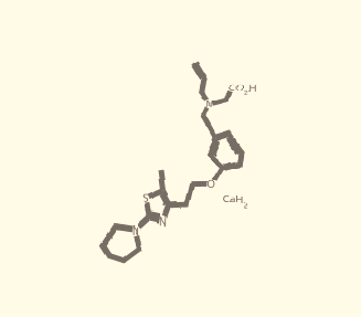 C=CCN(CC(=O)O)Cc1cccc(OCCc2nc(N3CCCCC3)sc2C)c1.[CaH2]